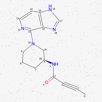 CC#CC(=O)N[C@H]1CCCN(c2nccc3[nH]cnc23)C1